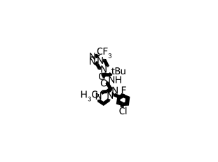 CN1CCCn2c(-c3cc(Cl)ccc3F)nc(C(=O)NC(C(=O)N3CCn4c(nnc4C(F)(F)F)C3)C(C)(C)C)c2C1